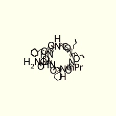 C=CCC[C@H]1OC[C@@H](C)NC(=O)[C@H](C(C)OCc2ccccc2)NC(=O)[C@H](COC(N)=O)NC(=O)[C@H](C2CCCCC2)NC(=O)[C@H](CCC)N(C)C(=O)[C@@H]1CCC=C